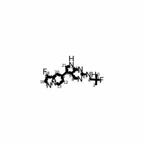 CC(C)(F)CNc1ncc2c(-c3ccn4ncc(F)c4c3)c[nH]c2n1